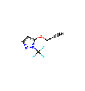 C#CCOc1c[c]nn1C(F)(F)F